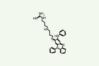 N=C(N)NCCCCNCCC/N=c1/cc2n(-c3ccccc3)c3ccccc3nc-2cc1Nc1ccccc1